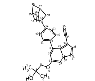 CC(C)(O)COc1cc(-c2cnc(N3CC4CC(C3)N4)nc2)c2c(C#N)cnn2c1